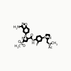 CC(=O)N(C)Cc1nccn1-c1ccc(NC(=O)c2cc(S(C)(=O)=O)nn2-c2ccc3onc(N)c3c2)c(F)c1